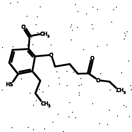 CCCc1c(S)ccc(C(C)=O)c1OCCCC(=O)OCC